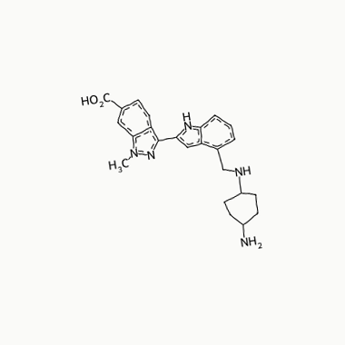 Cn1nc(-c2cc3c(CNC4CCC(N)CC4)cccc3[nH]2)c2ccc(C(=O)O)cc21